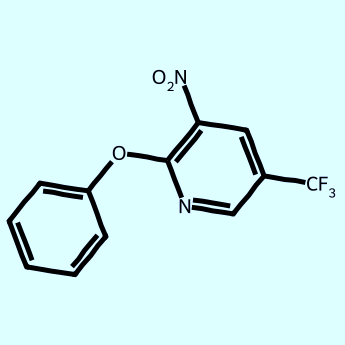 O=[N+]([O-])c1cc(C(F)(F)F)cnc1Oc1ccccc1